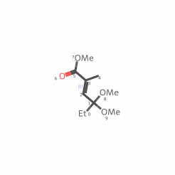 CCC(/C=C(\C)C(=O)OC)(OC)OC